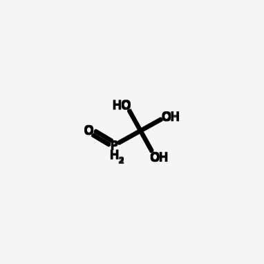 O=[PH2]C(O)(O)O